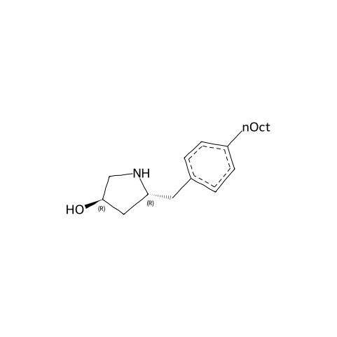 CCCCCCCCc1ccc(C[C@@H]2C[C@@H](O)CN2)cc1